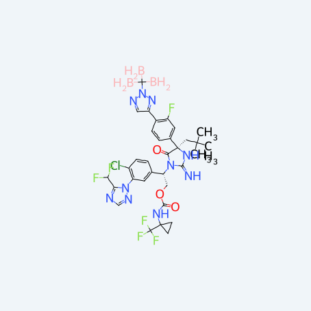 BC(B)(B)n1ncc(-c2ccc([C@@]3(CC(C)(C)C)NC(=N)N([C@H](COC(=O)NC4(C(F)(F)F)CC4)c4ccc(Cl)c(-n5ncnc5C(F)F)c4)C3=O)cc2F)n1